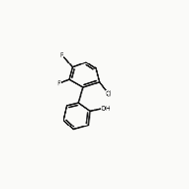 Oc1ccccc1-c1c(Cl)ccc(F)c1F